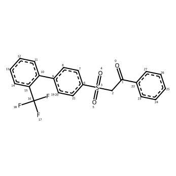 O=C(CS(=O)(=O)c1ccc(-c2ccccc2C(F)(F)F)cc1)c1ccccc1